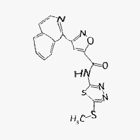 CSc1nnc(NC(=O)c2cc(-c3nccc4ccccc34)no2)s1